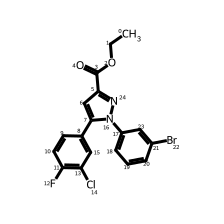 CCOC(=O)c1cc(-c2ccc(F)c(Cl)c2)n(-c2cccc(Br)c2)n1